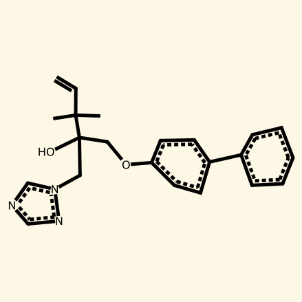 C=CC(C)(C)C(O)(COc1ccc(-c2ccccc2)cc1)Cn1cncn1